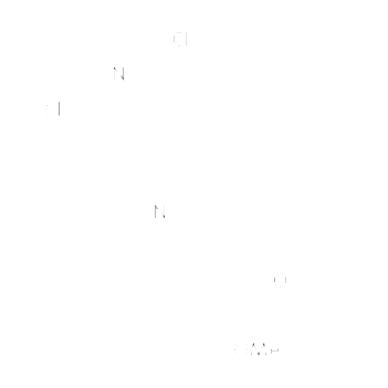 COc1ccc(N(Cc2cc(Cl)nc(Cl)c2)c2ccccc2)cc1OC1CCCC1